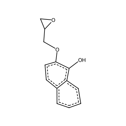 Oc1c(OCC2CO2)ccc2ccccc12